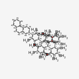 Bc1c(B)c(B)c(-c2c(B)c(B)c(B)c(B)c2-c2c3c(B)c(B)c(B)c(B)c3c(-c3c(B)c(B)c(-c4ccc5c(ccc6ccccc65)c4)c(B)c3B)c3c(B)c(B)c(B)c(B)c23)c(B)c1B